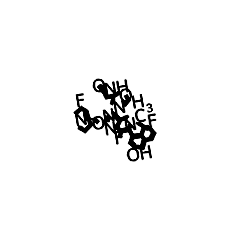 CCc1c(F)ccc2cc(O)cc(-c3ncc4c(N5CCOCC6(CC(=O)N6)C5)nc(OC[C@@]56CCCN5C[C@H](F)C6)nc4c3F)c12